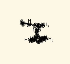 CC(C)[C@H](NC(=O)CCCCCNC(=O)CCCCCN1C(=O)C=CC1=O)C(=O)N[C@@H](CCCNC(N)=O)C(=O)Nc1ccc(CCSP2(=O)OC[C@H]3O[C@@H](n4cnc5c(N)ncnc54)[C@H](F)[C@@H]3OP(=O)(S)OC[C@H]3O[C@@H](n4cnc5c(O)ncnc54)[C@H](F)[C@@H]3O2)cc1